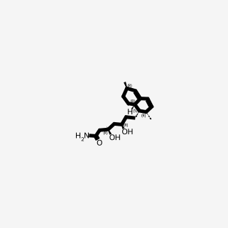 C[C@H]1C=C2C=C[C@H](C)[C@H](CC[C@@H](O)C[C@@H](O)CC(N)=O)[C@H]2[CH]C1